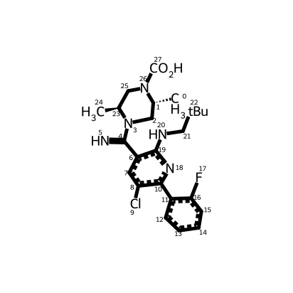 C[C@@H]1CN(C(=N)c2cc(Cl)c(-c3ccccc3F)nc2NCC(C)(C)C)[C@@H](C)CN1C(=O)O